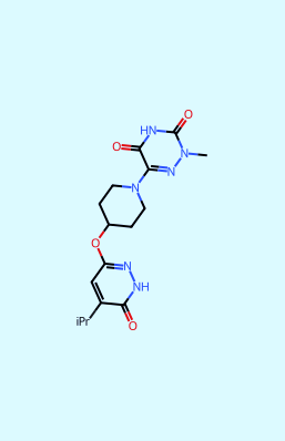 CC(C)c1cc(OC2CCN(c3nn(C)c(=O)[nH]c3=O)CC2)n[nH]c1=O